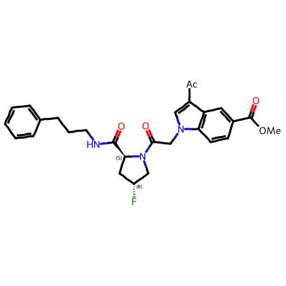 COC(=O)c1ccc2c(c1)c(C(C)=O)cn2CC(=O)N1C[C@H](F)C[C@H]1C(=O)NCCCc1ccccc1